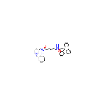 O=C(CCCCCNC(=O)CC(c1ccccc1)(c1ccccc1)c1ccccc1)NCC1CCCN(CC2CCCCCCC2)C1